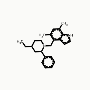 CCC1CCN(Cc2c(C)cc(C)c3[nH]ccc23)C(c2ccccc2)C1